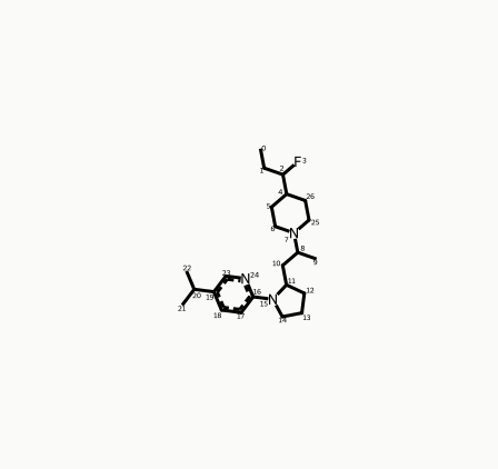 CCC(F)C1CCN(C(C)CC2CCCN2c2ccc(C(C)C)cn2)CC1